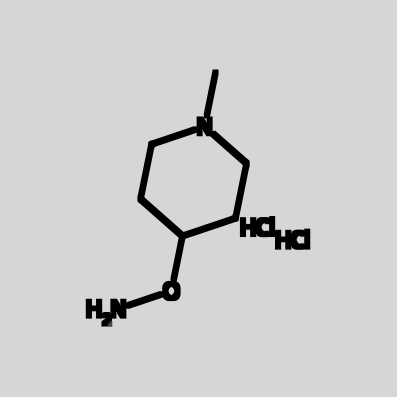 CN1CCC(ON)CC1.Cl.Cl